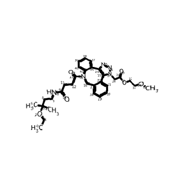 CCOC(C)(C)CCNC(=O)CCC(=O)N1Cc2ccccc2-c2c(nnn2CC(=O)OCCOC)-c2ccccc21